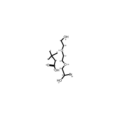 CC(C)(C)CC(=O)O.OCCOCCOCC(O)Br